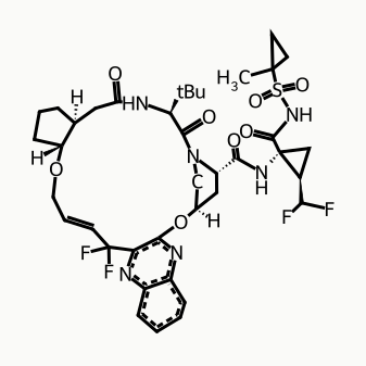 CC(C)(C)[C@@H]1NC(=O)C[C@@H]2CCC[C@H]2OC/C=C/C(F)(F)c2nc3ccccc3nc2O[C@@H]2C[C@@H](C(=O)N[C@]3(C(=O)NS(=O)(=O)C4(C)CC4)C[C@H]3C(F)F)N(C2)C1=O